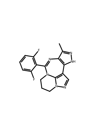 Cc1n[nH]c2c1N=C(c1c(F)cccc1F)N1CCCn3ncc-2c31